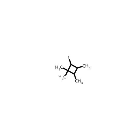 CC1C(C)C(C)(C)C1I